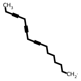 [CH2]CCCCCCC#CCC#CCC#CCC